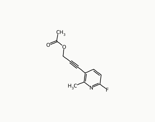 CC(=O)OCC#Cc1ccc(F)nc1C